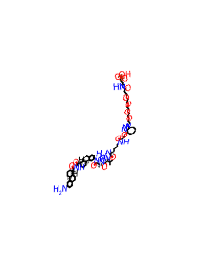 CC(C)[C@H](NC(=O)[C@H](N)CCCCNC(=O)COC1CCCCCc2c1nnn2CCOCCOCCOCCOCCC(=O)NCCS(=O)(=O)O)C(=O)N[C@@H](C)C(=O)Nc1ccc2c(c1)[C@@]1(C)CCC[C@](C)(C(=O)NC(=O)[C@@]3(C)CCC[C@]4(C)c5cc(N)ccc5CC[C@@H]34)[C@@H]1CC2